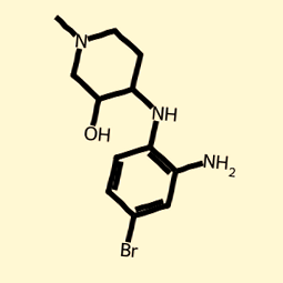 CN1CCC(Nc2ccc(Br)cc2N)C(O)C1